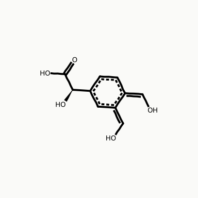 O=C(O)[C@H](O)c1ccc(=CO)c(=CO)c1